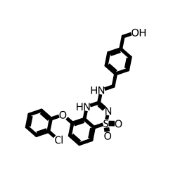 O=S1(=O)N=C(NCc2ccc(CO)cc2)Nc2c(Oc3ccccc3Cl)cccc21